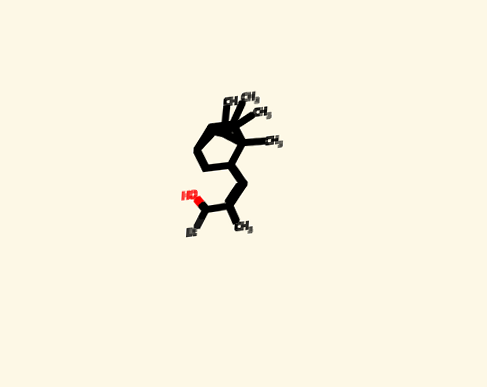 CCC(O)C(C)=CC1CC2C=C(C)C1(C)C(C)(C)C2